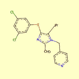 CC(C)c1c(Sc2cc(Cl)cc(Cl)c2)nc(C=O)n1Cc1ccncc1